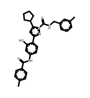 Cc1ccc(C(=O)Nc2ccc(-c3cc(C4CCCC4)n(C(=O)NCc4cccc(C)c4)n3)c(O)c2)cc1